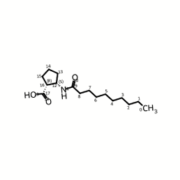 CCCCCCCCCC(=O)N[C@H]1CCC[C@H]1C(=O)O